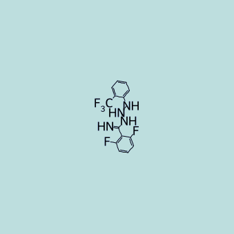 N=C(NNNc1ccccc1C(F)(F)F)c1c(F)cccc1F